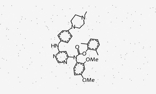 COc1ccc(N(C(=O)Oc2c(C)cccc2C)c2cc(Nc3ccc(N4CCN(C)CC4)cc3)ncn2)c(OC)c1